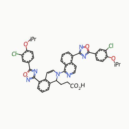 CC(C)Oc1ccc(-c2nc(-c3cccc4c3C=CN(c3nccc5c(-c6noc(-c7ccc(OC(C)C)c(Cl)c7)n6)cccc35)C4CCC(=O)O)no2)cc1Cl